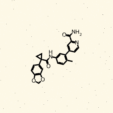 Cc1ccc(NC(=O)C2(c3ccc4c(c3)OCO4)CC2)cc1-c1ccnc(C(N)=O)c1